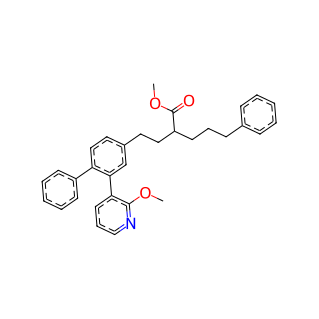 COC(=O)C(CCCc1ccccc1)CCc1ccc(-c2ccccc2)c(-c2cccnc2OC)c1